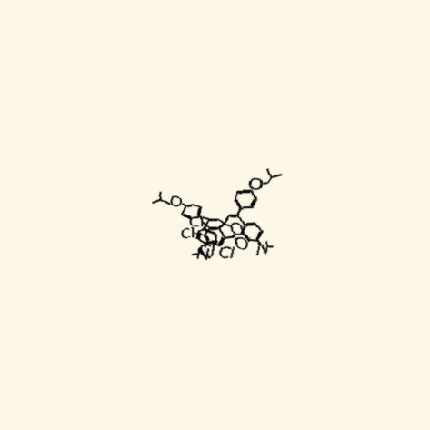 CC(C)COc1ccc(/C(=C/C2(/C=C(/c3ccc(OCC(C)C)cc3)c3ccc(N(C)C)cc3)OC(=O)c3c(Cl)c(Cl)c(Cl)c(Cl)c32)c2ccc(N(C)C)cc2)cc1